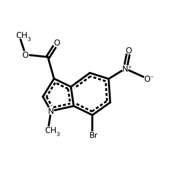 COC(=O)c1cn(C)c2c(Br)cc([N+](=O)[O-])cc12